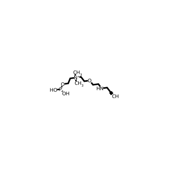 C#CCNCCOCC[N+](C)(C)CCOP(O)O